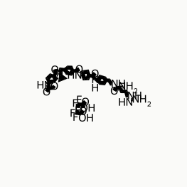 N=C(N)NCCC[C@H](N)C(=O)NCCc1ccc(NC(=O)c2ccc(NC(=O)c3ccc(CN(C(=O)c4ccc5c(c4)OCC(=O)N5)C4CC4)cc3)cc2)cc1.O=C(O)C(F)(F)F.O=C(O)C(F)(F)F